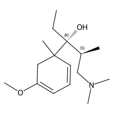 CC[C@@](O)([C@@H](C)CN(C)C)C1(C)C=CC=C(OC)C1